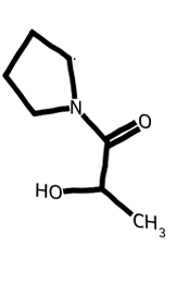 CC(O)C(=O)N1[CH]CCC1